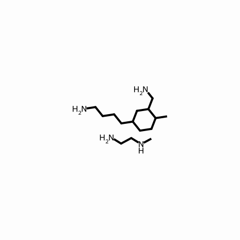 CC1CCC(CCCCN)CC1CN.CNCCN